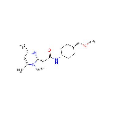 CCCOC[C@H]1CC[C@H](NC(=O)c2ccn3c(C)cc(C)nc23)CC1